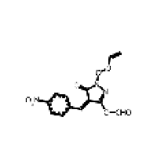 C=COON1N=C(OC=O)/C(=C/c2ccc([N+](=O)[O-])cc2)C1=O